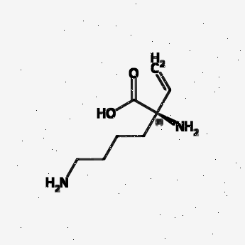 C=C[C@](N)(CCCCN)C(=O)O